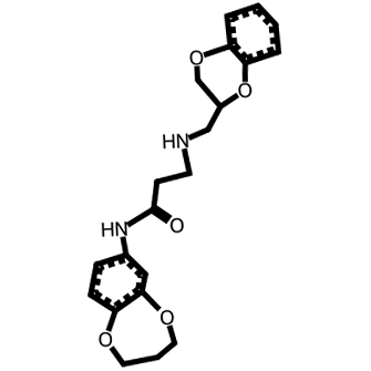 O=C(CCNCC1COc2ccccc2O1)Nc1ccc2c(c1)OCCCO2